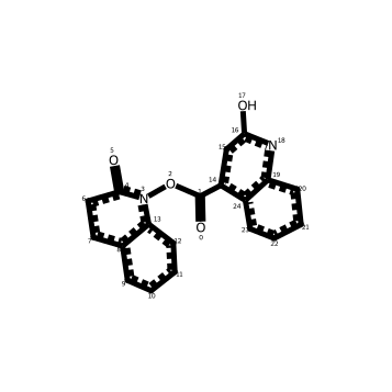 O=C(On1c(=O)ccc2ccccc21)c1cc(O)nc2ccccc12